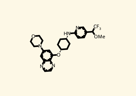 COC(c1ccc(N[C@H]2CC[C@@H](Oc3cc(N4CCOCC4)cc4nccnc34)CC2)nc1)C(F)(F)F